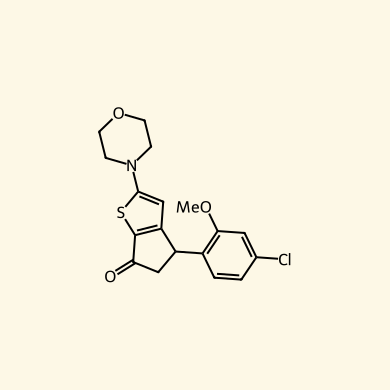 COc1cc(Cl)ccc1C1CC(=O)c2sc(N3CCOCC3)cc21